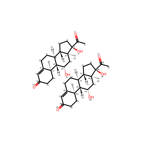 CC(=O)[C@@]1(O)CC[C@H]2[C@@H]3CCC4=CC(=O)CC[C@]4(C)[C@H]3[C@@H](O)C[C@@]21C.CC(=O)[C@@]1(O)CC[C@H]2[C@@H]3CCC4=CC(=O)CC[C@]4(C)[C@H]3[C@@H](O)C[C@@]21C